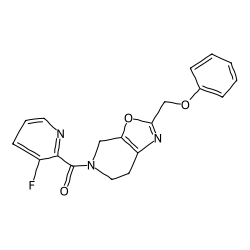 O=C(c1ncccc1F)N1CCc2nc(COc3ccccc3)oc2C1